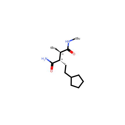 CC(C)(C)NC(=O)[C@@H]([C@H](CCC1CCCC1)C(N)=O)C(C)(C)C